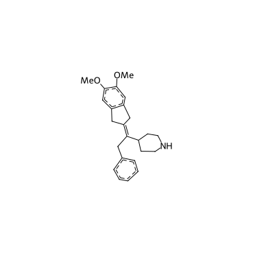 COc1cc2c(cc1OC)CC(=C(Cc1ccccc1)C1CCNCC1)C2